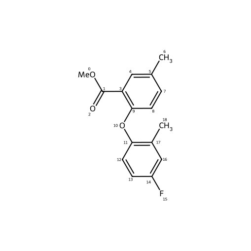 COC(=O)c1cc(C)ccc1Oc1ccc(F)cc1C